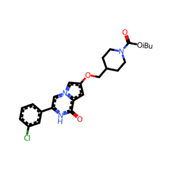 CC(C)COC(=O)N1CCC(COc2cc3c(=O)[nH]c(-c4cccc(Cl)c4)cn3c2)CC1